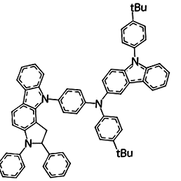 CC(C)(C)c1ccc(N(c2ccc(-n3c4ccccc4c4ccc5c(c43)CC(c3ccccc3)N5c3ccccc3)cc2)c2ccc3c(c2)c2ccccc2n3-c2ccc(C(C)(C)C)cc2)cc1